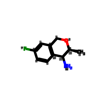 C[C@@H]1OCc2cc(F)ccc2C1N